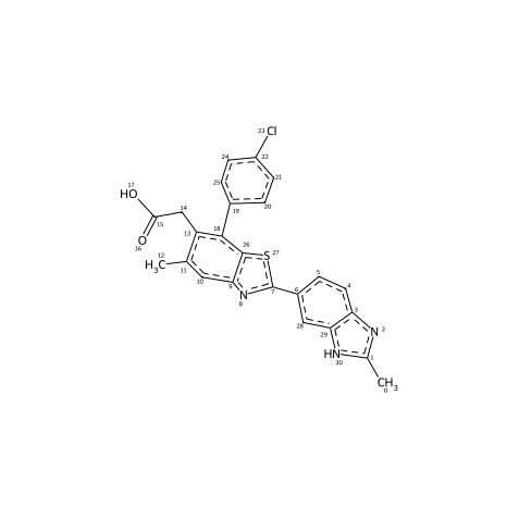 Cc1nc2ccc(-c3nc4cc(C)c(CC(=O)O)c(-c5ccc(Cl)cc5)c4s3)cc2[nH]1